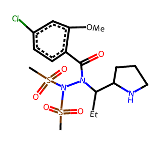 CCC(C1CCCN1)N(C(=O)c1ccc(Cl)cc1OC)N(S(C)(=O)=O)S(C)(=O)=O